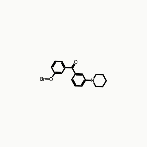 O=C(c1cccc(OBr)c1)c1cccc(N2CCCCC2)c1